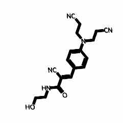 N#CCCN(CCC#N)c1ccc(/C=C(\C#N)C(=O)NCCO)cc1